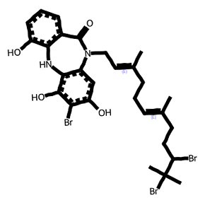 C/C(=C\CN1C(=O)c2cccc(O)c2Nc2c1cc(O)c(Br)c2O)CC/C=C(\C)CCC(Br)C(C)(C)Br